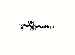 CCCCCCCCCCNC(=O)C(O)CC[S@@+](C)[O-]